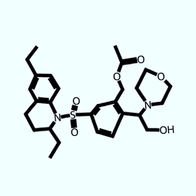 CCc1ccc2c(c1)CCC(CC)N2S(=O)(=O)c1ccc(C(CO)N2CCOCC2)c(COC(C)=O)c1